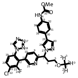 [2H]C([2H])([2H])OCCC(c1ccc(-c2c(-n3cnnn3)ccc(Cl)c2F)cn1)n1cc(-c2ccc(NC(=O)OC)cc2)cn1